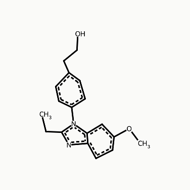 CCc1nc2ccc(OC)cc2n1-c1ccc(CCO)cc1